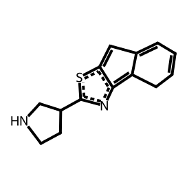 C1=CCC2=c3nc(C4CCNC4)sc3=CC2=C1